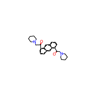 O=C(CN1CCCCC1)c1cccc2cc3c(C(=O)CN4CCCCC4)cccc3cc12